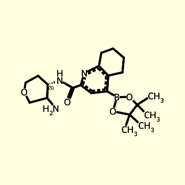 CC1(C)OB(c2cc(C(=O)N[C@H]3CCOCC3N)nc3c2CCCC3)OC1(C)C